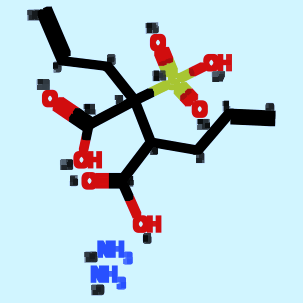 C=CCC(C(=O)O)C(CC=C)(C(=O)O)S(=O)(=O)O.N.N